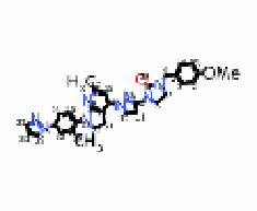 COc1ccc(CN2CCN(c3ccn(-c4cc(C)nc5c4CCN5c4ccc(-n5cccn5)cc4C)n3)C2=O)cc1